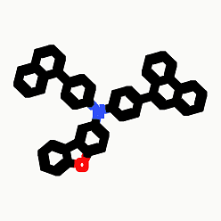 c1ccc2c(-c3ccc(N(c4ccc(-c5cc6ccccc6c6ccccc56)cc4)c4ccc5oc6ccccc6c5c4)cc3)cccc2c1